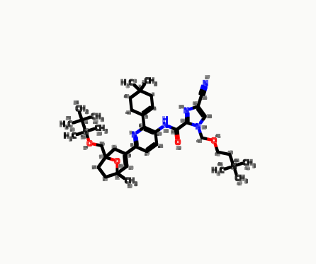 CC1(C)CC=C(c2nc(C3=CC4(C)CCC(CO[Si](C)(C)C(C)(C)C)(C3)O4)ccc2NC(=O)c2nc(C#N)cn2COCC[Si](C)(C)C)CC1